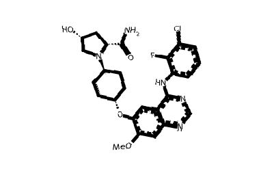 COc1cc2ncnc(Nc3cccc(Cl)c3F)c2cc1O[C@H]1CC[C@H](N2C[C@H](O)C[C@@H]2C(N)=O)CC1